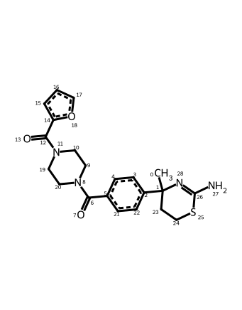 CC1(c2ccc(C(=O)N3CCN(C(=O)c4ccco4)CC3)cc2)CCSC(N)=N1